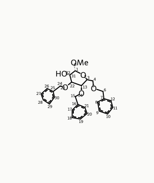 CO[C@@H]1OC(COCc2ccccc2)[C@@H](OCc2ccccc2)C(OCc2ccccc2)[C@@H]1O